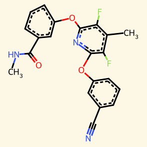 CNC(=O)c1cccc(Oc2nc(Oc3cccc(C#N)c3)c(F)c(C)c2F)c1